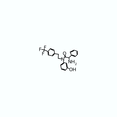 NC(C(=O)N(CCc1ccc(C(F)(F)F)cc1)c1cccc(O)c1)c1ccccc1